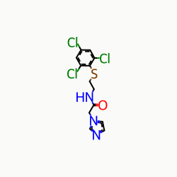 O=C(Cn1ccnc1)NCCSc1c(Cl)cc(Cl)cc1Cl